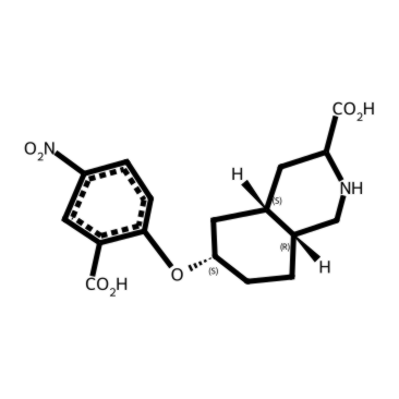 O=C(O)c1cc([N+](=O)[O-])ccc1O[C@H]1CC[C@H]2CNC(C(=O)O)C[C@H]2C1